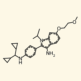 COCCOc1ccc2c(N)c(-c3ccc(NC(C4CC4)C4CC4)cc3)n(C(C)C)c2c1